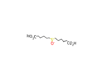 O=C(O)CCCCC[S+]([O-])CCCCCC(=O)O